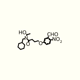 CC(O)N(CC1CCCCC1)C(=O)CCCOc1ccc([N+](=O)[O-])c(C=O)c1